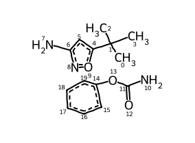 CC(C)(C)c1cc(N)no1.NC(=O)Oc1ccccc1